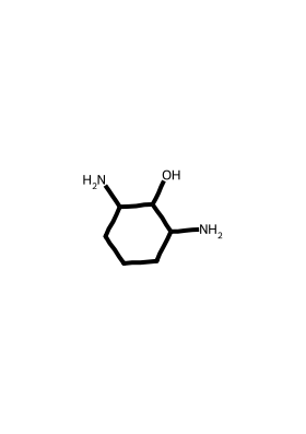 NC1CCCC(N)C1O